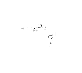 CCC1(C(=O)O)CCc2ccc(OCCCOc3ccc(OCC(F)(F)F)cc3Cl)cc2O1